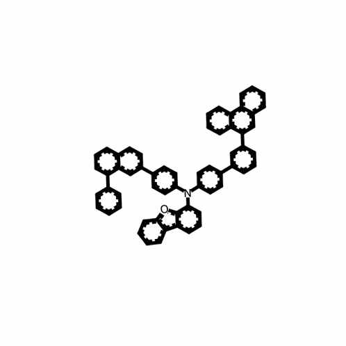 c1ccc(-c2cccc3ccc(-c4ccc(N(c5ccc(-c6cccc(-c7cc8ccccc8c8ccccc78)c6)cc5)c5cccc6c5oc5ccccc56)cc4)cc23)cc1